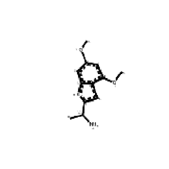 COc1cc(OC)c2cc(C(C)N)sc2c1